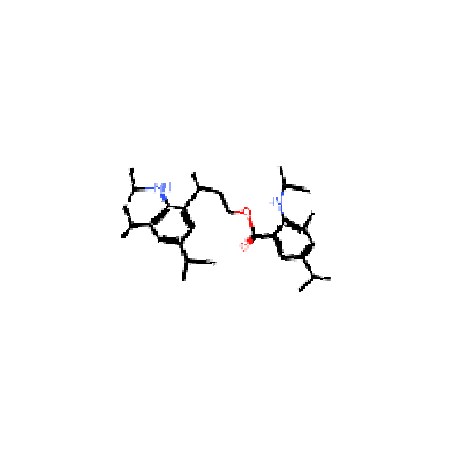 Cc1cc(C(C)C)cc(C(=O)OCCC(C)c2cc(C(C)C)cc(C(C)C)c2NC(C)C)c1NC(C)C